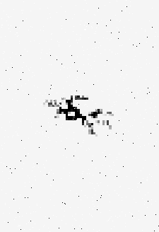 C=CC(OC(=O)c1ccc(C(=O)OC)c(C(=O)OC)c1)[SiH](C)C